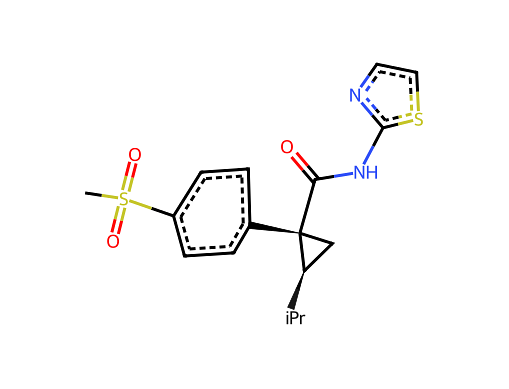 CC(C)[C@@H]1C[C@]1(C(=O)Nc1nccs1)c1ccc(S(C)(=O)=O)cc1